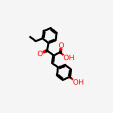 CCc1ccccc1C(=O)C(=Cc1ccc(O)cc1)C(=O)O